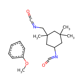 CC1(C)CC(N=C=O)CC(C)(CN=C=O)C1.COc1ccccc1